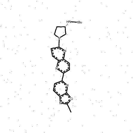 Cc1nc2ccc(-c3ccc4nc(N5CC[C@H](NC(C)(C)C)C5)ccc4n3)nc2o1